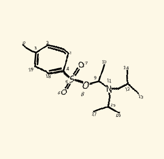 Cc1ccc(S(=O)(=O)OC(C)N(C(C)C)C(C)C)cc1